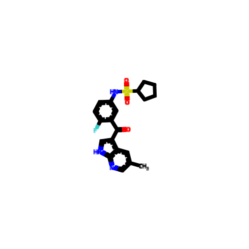 Cc1cnc2[nH]cc(C(=O)c3cc(NS(=O)(=O)C4CCCC4)ccc3F)c2c1